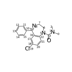 CN(C)C(=O)N1CCN=C(c2ccccc2)c2cc(Cl)ccc21